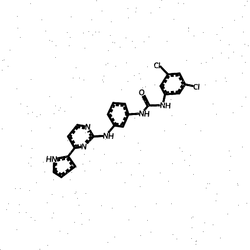 O=C(Nc1cc(Cl)cc(Cl)c1)Nc1cccc(Nc2nccc(-c3ccc[nH]3)n2)c1